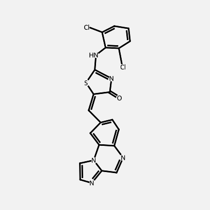 O=C1N=C(Nc2c(Cl)cccc2Cl)SC1=Cc1ccc2ncc3nccn3c2c1